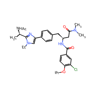 CCn1cc(-c2ccc(C[C@@H](CC(=O)N(C)C)NC(=O)c3ccc(OC(C)C)c(Cl)c3)cc2)nc1[C@@H](C)NC(C)=O